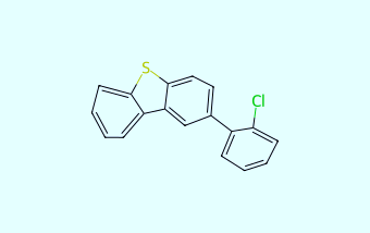 Clc1ccccc1-c1ccc2sc3ccccc3c2c1